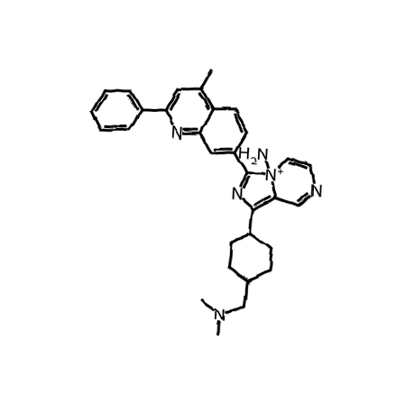 Cc1cc(-c2ccccc2)nc2cc(C3=NC(C4CCC(CN(C)C)CC4)=C4C=NC=C[N+]34N)ccc12